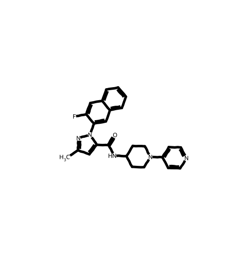 Cc1cc(C(=O)NC2CCN(c3ccncc3)CC2)n(-c2cc3ccccc3cc2F)n1